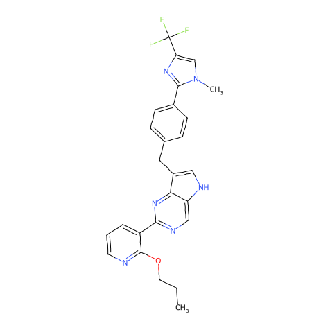 CCCOc1ncccc1-c1ncc2[nH]cc(Cc3ccc(-c4nc(C(F)(F)F)cn4C)cc3)c2n1